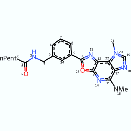 CCCCCC(=O)NCc1cccc(-c2nc3c(nc(NC)c4ncn(C)c43)o2)c1